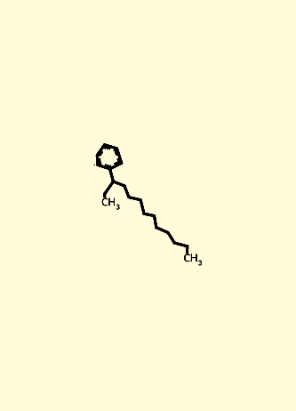 CCCCCCCCCCC(CC)c1[c]cccc1